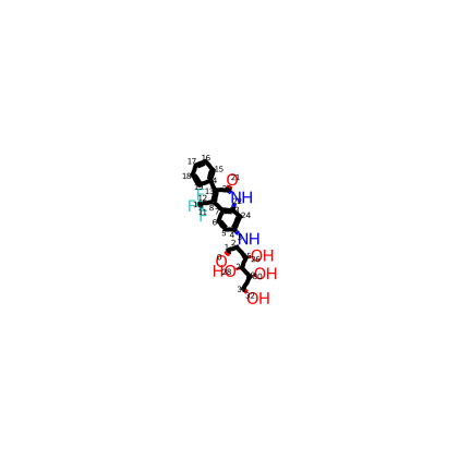 O=C[C@H](Nc1ccc2c(C(F)(F)F)c(-c3ccccc3)c(=O)[nH]c2c1)[C@@H](O)[C@H](O)[C@H](O)CO